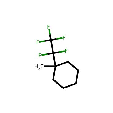 CC1(C(F)(F)C(F)(F)F)CCCCC1